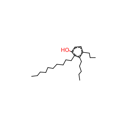 CCCCCCCCCCc1c(O)ccc(CCC)c1CCCCC